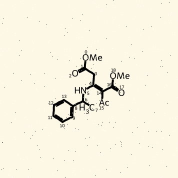 COC(=O)CC(NC(C)c1ccccc1)=C(C(C)=O)C(=O)OC